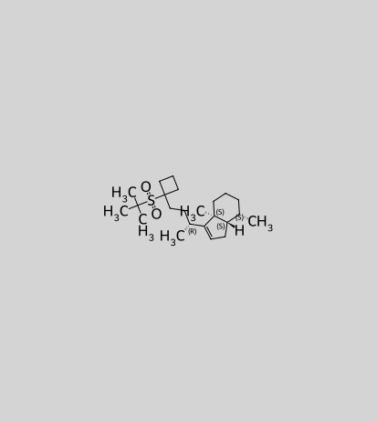 C[C@H](CCC1(S(=O)(=O)C(C)(C)C)CCC1)C1=CC[C@H]2[C@@H](C)CCC[C@]12C